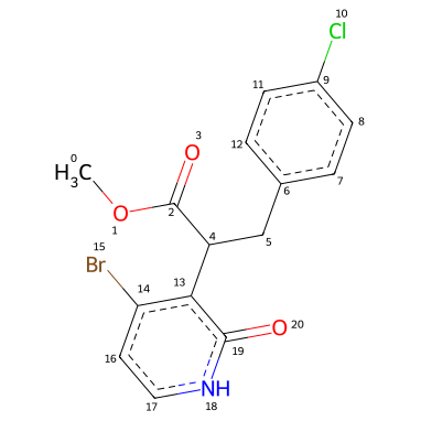 COC(=O)C(Cc1ccc(Cl)cc1)c1c(Br)cc[nH]c1=O